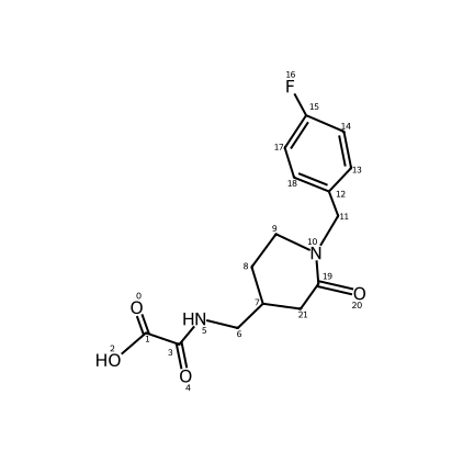 O=C(O)C(=O)NCC1CCN(Cc2ccc(F)cc2)C(=O)C1